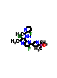 Cc1nc2cc(F)c(-c3ccc(P(C)(C)=O)nc3)nc2c(NC(C)c2ncccc2F)c1Cl